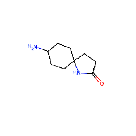 NC1CCC2(CCC(=O)N2)CC1